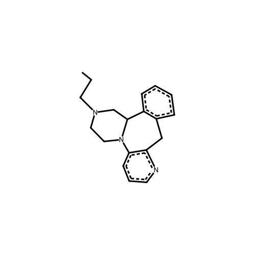 CCCN1CCN2c3cccnc3Cc3ccccc3C2C1